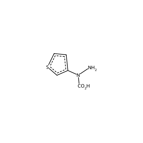 NN(C(=O)O)c1ccsc1